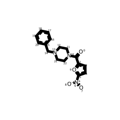 O=C(c1ccc([N+](=O)[O-])o1)N1CCN(Cc2ccccc2)CC1